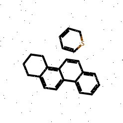 C1=CCSC=C1.c1ccc2c(c1)ccc1c3c(ccc12)CCCC3